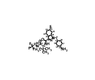 CC(C)(C)C(NC(=O)c1nn(Cc2ccc(N)cc2)c2cc(F)ccc12)C(=O)NCC(F)(F)F